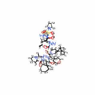 C=C[C@@H]1C[C@]1(NC(=O)[C@@H]1C[C@@]2(CN1C(=O)[C@@H](NC(=O)[C@@H](NC(=O)[C@@H]1CCCCN1C(C)C)C1(C)CCCCC1)C1(C)CCOCC1)C(C)(C)C21CCC1)C(=O)NS(=O)(=O)N1CCCC1